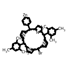 Cc1cc(C)c(-c2c3nc(c(-c4ccccc4)c4ccc([nH]4)c(-c4c(C)cc(C)cc4C)c4nc(c(Br)c5ccc2[nH]5)C=C4)C=C3)c(C)c1.[Zn]